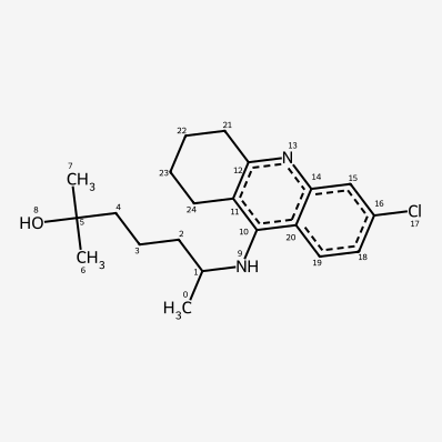 CC(CCCC(C)(C)O)Nc1c2c(nc3cc(Cl)ccc13)CCCC2